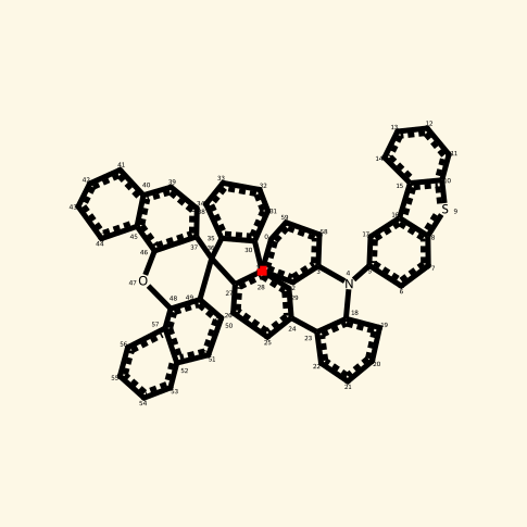 c1ccc(N(c2ccc3sc4ccccc4c3c2)c2ccccc2-c2ccc3c(c2)-c2ccccc2C32c3ccc4ccccc4c3Oc3c2ccc2ccccc32)cc1